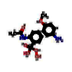 CC(=O)Nc1ccccc1[As](=O)(O)OO.COc1ccc(N)cc1